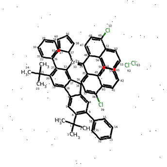 CC(C)(C)c1cc2c(cc1-c1ccccc1)Cc1c-2cc(C(C)(C)C)c(-c2ccccc2)[c]1[Zr+2](=[C](c1ccc(Cl)c2ccccc12)c1ccc(Cl)c2ccccc12)[CH]1C=CC=C1.[Cl-].[Cl-]